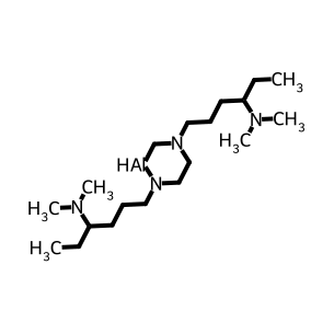 CCC(CCCN1CC[N](CCCC(CC)N(C)C)[AlH][CH2]1)N(C)C